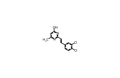 Cc1cc(O)nc(C=Cc2ccc(Cl)c(Cl)c2)n1